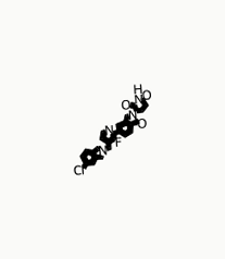 O=C1CCC(N2Cc3cc(-c4nccc(CN5Cc6ccc(Cl)cc6C5)c4F)ccc3C2=O)C(=O)N1